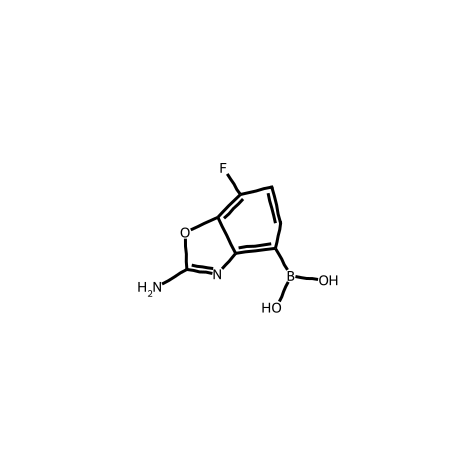 Nc1nc2c(B(O)O)ccc(F)c2o1